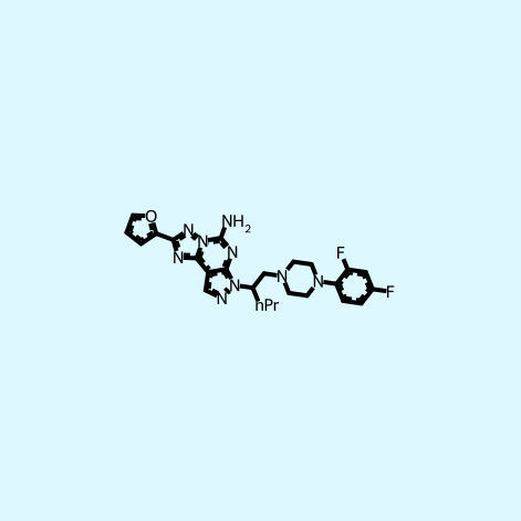 CCCC(CN1CCN(c2ccc(F)cc2F)CC1)n1ncc2c1nc(N)n1nc(-c3ccco3)nc21